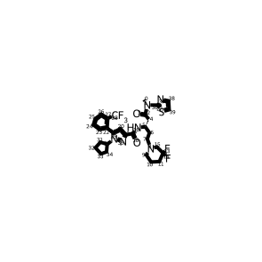 CN(C(=O)C[C@H](CCN1CCCC(F)(F)C1)NC(=O)c1cc(-c2ccccc2C(F)(F)F)n(C2CCCC2)n1)c1nccs1